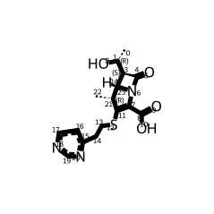 C[C@@H](O)[C@H]1C(=O)N2C(C(=O)O)=C(SCCc3ccncn3)[C@H](C)[C@H]12